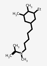 C=C(C)N(C)CCCCCC1CC(C)C(C)C(CC)C1